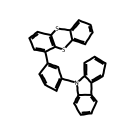 c1cc(-c2cccc3c2Sc2ccccc2S3)cc(-n2c3ccccc3c3ccccc32)c1